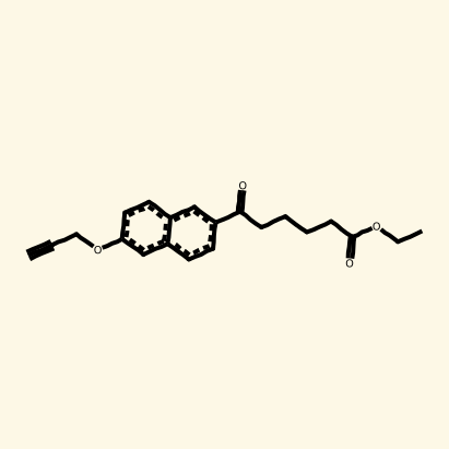 C#CCOc1ccc2cc(C(=O)CCCCC(=O)OCC)ccc2c1